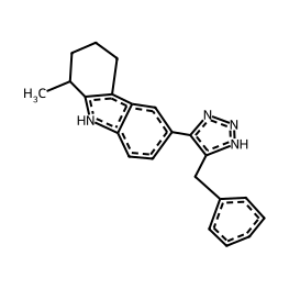 CC1CCCc2c1[nH]c1ccc(-c3nn[nH]c3Cc3ccccc3)cc21